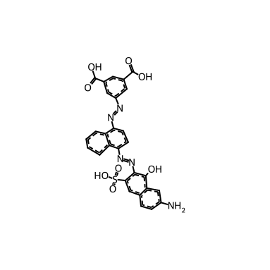 Nc1ccc2cc(S(=O)(=O)O)c(/N=N/c3ccc(/N=N/c4cc(C(=O)O)cc(C(=O)O)c4)c4ccccc34)c(O)c2c1